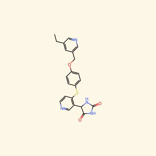 CCc1cncc(COc2ccc(Sc3ccncc3C3NC(=O)NC3=O)cc2)c1